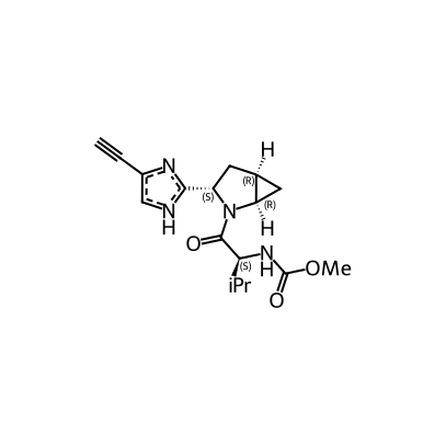 C#Cc1c[nH]c([C@@H]2C[C@H]3C[C@H]3N2C(=O)[C@@H](NC(=O)OC)C(C)C)n1